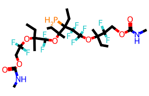 CCC(C)(OC(F)(F)C(F)(F)C(P)(CC)C(C)(CC)OC(F)(F)C(C)(CC)OC(F)(F)COC(=O)NC)C(F)(F)COC(=O)NC